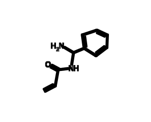 C=CC(=O)NC(N)c1ccccc1